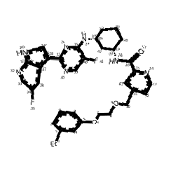 CCc1cccc(OCCOCc2ccnc(C(=O)N[C@H]3CCC[C@@H](Nc4nc(-c5c[nH]c6ncc(F)cc56)ncc4F)C3)c2)c1